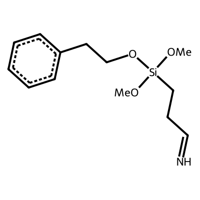 CO[Si](CCC=N)(OC)OCCc1ccccc1